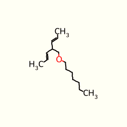 CC=CC(C=CC)COCCCCCCC